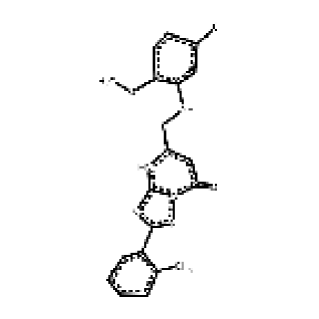 COc1ccc(Cl)cc1NCc1cc(=O)n2nc(-c3ccccc3C)nc2[nH]1